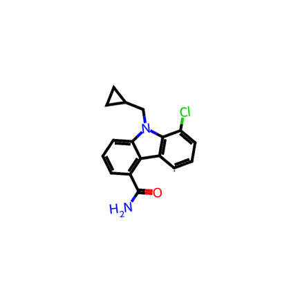 NC(=O)c1cccc2c1c1[c]ccc(Cl)c1n2CC1CC1